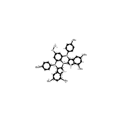 CC(C)(C)c1ccc(N2c3cc(OC(F)(F)F)cc4c3B(c3oc5c(C(C)(C)C)cc(C(C)(C)C)cc5c32)c2oc3c(C(C)(C)C)cc(C(C)(C)C)cc3c2N4c2ccc(C(C)(C)C)cc2)cc1